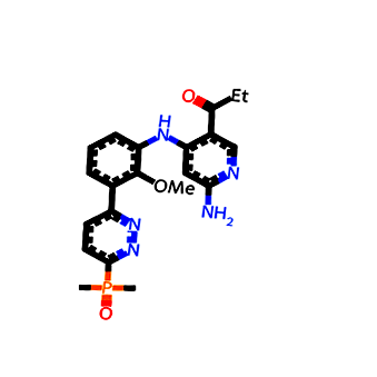 CCC(=O)c1cnc(N)cc1Nc1cccc(-c2ccc(P(C)(C)=O)nn2)c1OC